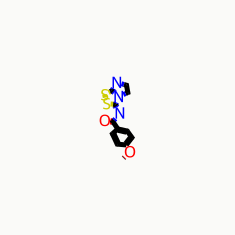 COc1ccc(C(=O)N=C2SSC3=NCCN32)cc1